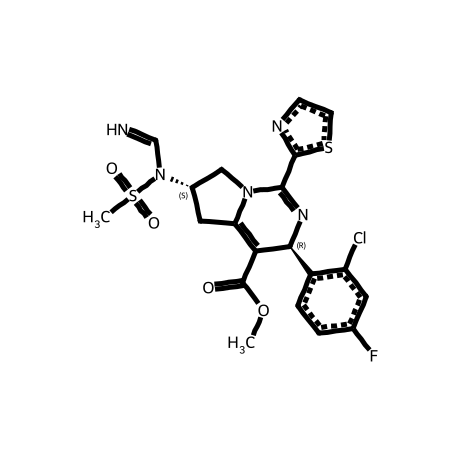 COC(=O)C1=C2C[C@H](N(C=N)S(C)(=O)=O)CN2C(c2nccs2)=N[C@H]1c1ccc(F)cc1Cl